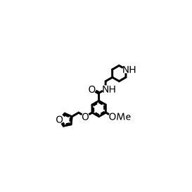 COc1cc(OCc2ccoc2)cc(C(=O)NCC2CCNCC2)c1